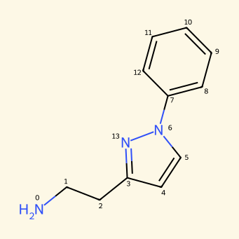 NCCc1ccn(-c2ccccc2)n1